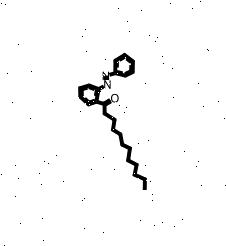 CCCCCCCCCCCC(=O)c1ccccc1N=Nc1ccccc1